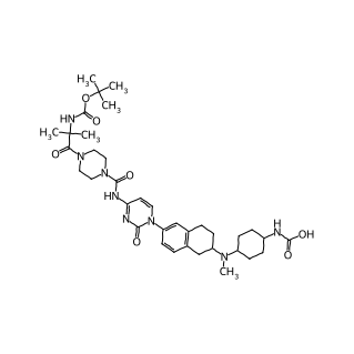 CN(C1CCC(NC(=O)O)CC1)C1CCc2cc(-n3ccc(NC(=O)N4CCN(C(=O)C(C)(C)NC(=O)OC(C)(C)C)CC4)nc3=O)ccc2C1